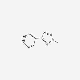 Cn1ccc(-c2cc#ccc2)n1